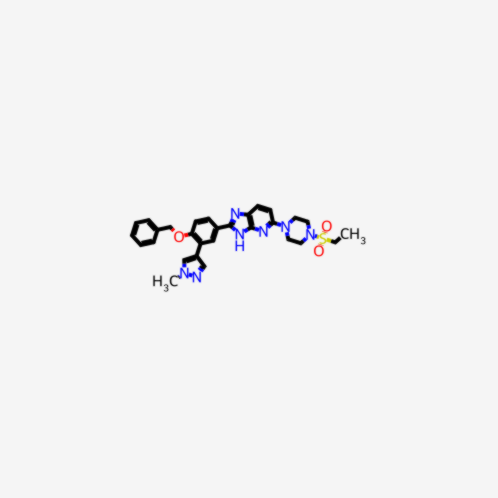 CCS(=O)(=O)N1CCN(c2ccc3nc(-c4ccc(OCc5ccccc5)c(-c5cnn(C)c5)c4)[nH]c3n2)CC1